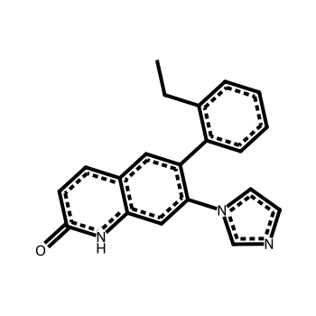 CCc1ccccc1-c1cc2ccc(=O)[nH]c2cc1-n1ccnc1